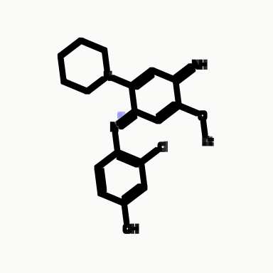 CCOC1=C/C(=N\c2ccc(O)cc2Cl)C(N2CCCCC2)=CC1=N